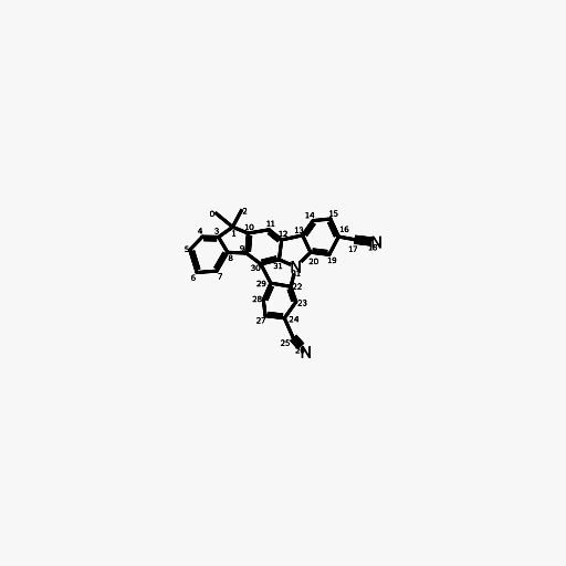 CC1(C)c2ccccc2-c2c1cc1c3ccc(C#N)cc3n3c4cc(C#N)ccc4c2c13